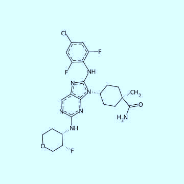 C[C@]1(C(N)=O)CC[C@H](n2c(Nc3c(F)cc(Cl)cc3F)nc3cnc(N[C@H]4CCOC[C@H]4F)nc32)CC1